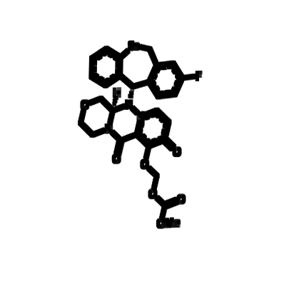 COC(=O)OCOc1c2n(ccc1=O)N([C@H]1c3ccc(F)cc3C[Se]c3ccccc31)[C@@H]1COCCN1C2=O